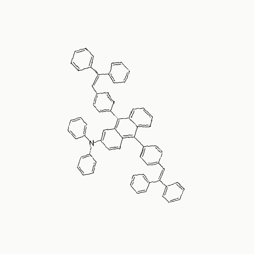 C(=C(c1ccccc1)c1ccccc1)c1ccc(-c2c3ccccc3c(-c3ccc(C=C(c4ccccc4)c4ccccc4)cc3)c3cc(N(c4ccccc4)c4ccccc4)ccc23)cc1